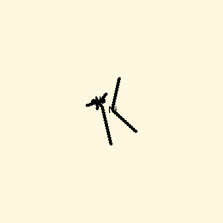 CCCCCCCCCCCCCCCCCCCCCCCCCCCCC#CC1=C(c2cccc(CCCCC)c2)[N+](=[N-])C(c2cccc(CCCCC)c2)=C1CCCC.CCCCCCCCCCCCCCCCCCCCCC[CH2][Ni][CH2]CCCCCCCCCCCCCCCCCCCCCC